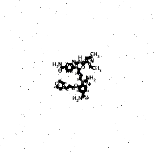 CCn1nc(C)cc1C(=O)Nc1nc2cc(C(N)=O)ccc2n1C/C=C/Cn1c(N)nc2cc(C(N)=O)cc(OCCCN3CCOCC3)c21